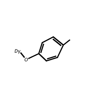 Cc1ccc([O][Dy])cc1